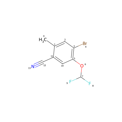 Cc1cc(Br)c(OC(F)F)cc1C#N